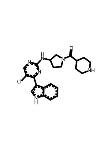 O=C(C1CCNCC1)N1CCC(Nc2ncc(Cl)c(-c3c[nH]c4ccccc34)n2)C1